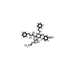 C=CCNCC(=O)N1[C@@H](NC(=O)NCc2ccccc2)CN(CCc2ccccc2)C(=O)[C@@H]1Cc1ccc(O)cc1